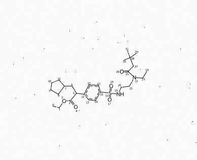 CCOC(=O)C(CC1CCCC1)c1ccc(S(=O)(=O)NCCN(CC)C(=O)CC(C)(C)C)cc1